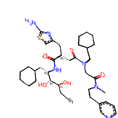 CC(C)C[C@H](O)[C@H](O)[C@H](CC1CCCCC1)NC(=O)[C@@H](CC(=O)N(CC(=O)N(C)CCc1cccnc1)CC1CCCCC1)Cc1csc(N)n1